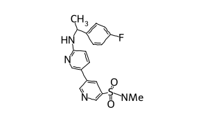 CNS(=O)(=O)c1cncc(-c2ccc(NC(C)c3ccc(F)cc3)nc2)c1